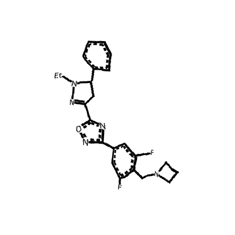 CCN1N=C(c2nc(-c3cc(F)c(CN4CCC4)c(F)c3)no2)CC1c1ccccc1